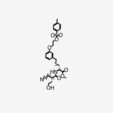 COC(=O)[C@@H](CSCc1cccc(OCCOS(=O)(=O)c2ccc(C)cc2)c1)NC(=O)[C@H](CCO)N=[N+]=[N-]